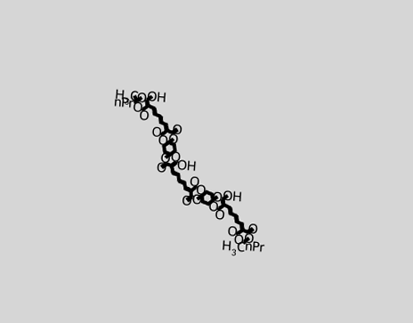 CCCC1(C)OC(=O)C(=C/C=C/C=C/C2=C(O)OC3(CCC4(CC3)OC(=O)C(=C/C=C/C=C/C3=C(O)OC5(CCC6(CC5)OC(=O)C(=C/C=C/C=C/C5=C(O)OC(C)(CCC)OC5=O)C(=O)O6)OC3=O)C(=O)O4)OC2=O)C(=O)O1